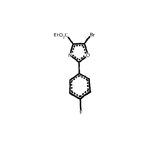 CCOC(=O)c1nc(-c2ccc(F)cc2)oc1Br